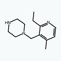 CCc1nccc(C)c1CN1CCNCC1